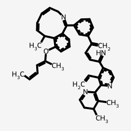 C=Cc1c(C(=N)/C=C\C(=C)c2cccc(/C3=N/C/C=C\C=C/C(C)c4c(O/C(C)=C/C=C\C)cccc43)c2)ccnc1C1=C(C)C(C)CC=N1